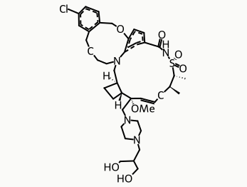 CO[C@@]1(CN2CCN(CC(CO)CO)CC2)/C=C/C[C@H](C)[C@@H](C)S(=O)(=O)NC(=O)c2ccc3c(c2)N(CCCCc2cc(Cl)ccc2CO3)C[C@@H]2CC[C@H]21